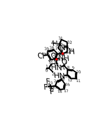 CC(C)C[C@H](NC(=O)c1ccccc1Nc1cccc(C(F)(F)F)c1)C(=O)N[C@@H]1C[C@H]2CC[C@@H](C1)N2Cc1ccc(Cl)cc1